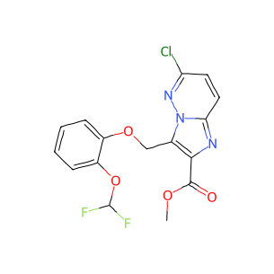 COC(=O)c1nc2ccc(Cl)nn2c1COc1ccccc1OC(F)F